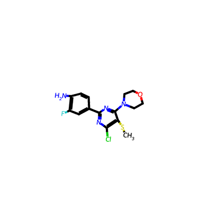 CSc1c(Cl)nc(-c2ccc(N)c(F)c2)nc1N1CCOCC1